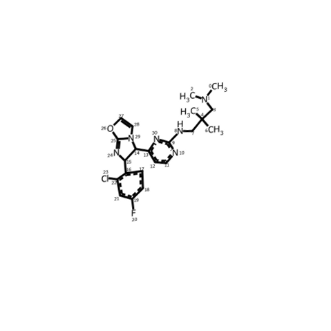 CN(C)CC(C)(C)CNc1nccc(C2C(c3ccc(F)cc3Cl)N=C3OC=CN32)n1